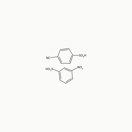 N#Cc1ccc(S(=O)(=O)O)cc1.O=[N+]([O-])c1cccc(S(=O)(=O)O)c1